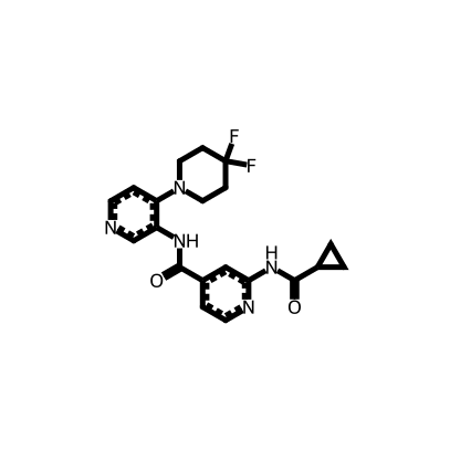 O=C(Nc1cnccc1N1CCC(F)(F)CC1)c1ccnc(NC(=O)C2CC2)c1